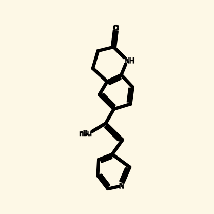 CCCCC(=Cc1cccnc1)c1ccc2c(c1)CCC(=O)N2